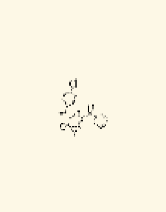 C=C(c1ccc(Cl)cc1)C(OC(=O)Nc1ccccc1)C(=O)OC